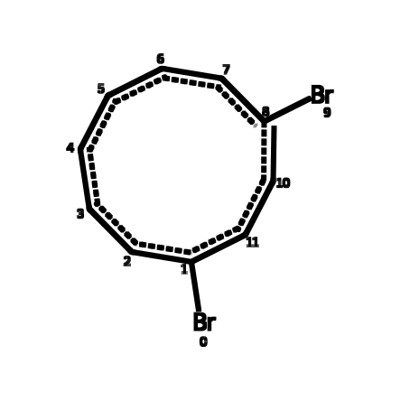 Brc1ccccccc(Br)cc1